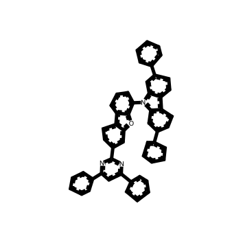 c1ccc(-c2ccc3c4ccc(-c5ccccc5)cc4n(-c4cccc5c4oc4cc(-c6nc(-c7ccccc7)cc(-c7ccccc7)n6)ccc45)c3c2)cc1